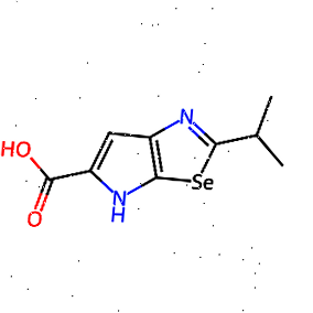 CC(C)c1nc2cc(C(=O)O)[nH]c2[se]1